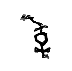 CCCNS(=O)(=O)c1ccc(S(C)(=O)=O)cc1